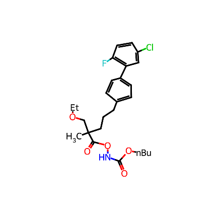 CCCCOC(=O)NOC(=O)C(C)(CCCc1ccc(-c2cc(Cl)ccc2F)cc1)COCC